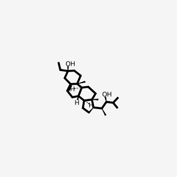 CC[C@]1(O)CC[C@@]2(C)C(=CC[C@H]3[C@@H]4CC[C@H]([C@H](C)[C@@H](O)C(C)C)[C@@]4(C)CC[C@@H]32)C1